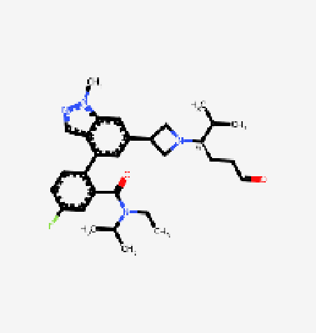 CCN(C(=O)c1cc(F)ccc1-c1cc(C2CN([C@H](CCC=O)C(C)C)C2)cc2c1cnn2C)C(C)C